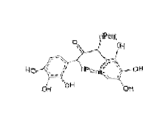 CCCCCC(C(=O)C(CCCCC)c1ccc(O)c(O)c1O)c1ccc(O)c(O)c1O